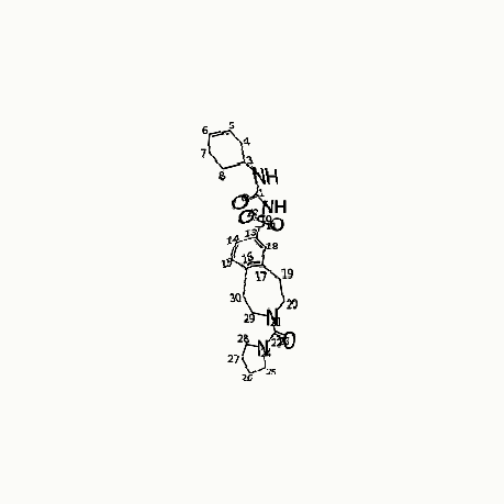 O=C(NC1CC=CCC1)NS(=O)(=O)c1ccc2c(c1)CCN(C(=O)N1CCCC1)CC2